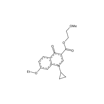 CCOc1ccc2c(=O)c(C(=O)OCCOC)cn(C3CC3)c2c1